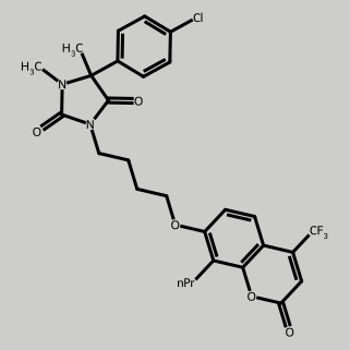 CCCc1c(OCCCCN2C(=O)N(C)C(C)(c3ccc(Cl)cc3)C2=O)ccc2c(C(F)(F)F)cc(=O)oc12